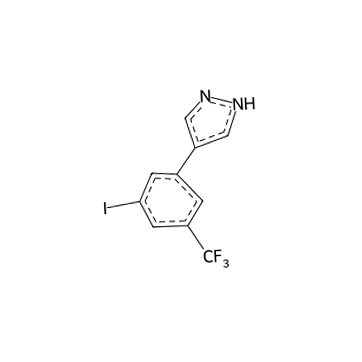 FC(F)(F)c1cc(I)cc(-c2cn[nH]c2)c1